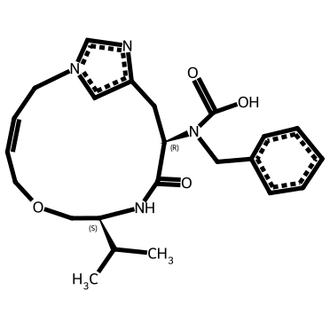 CC(C)[C@H]1COCC=CCn2cnc(c2)C[C@@H](N(Cc2ccccc2)C(=O)O)C(=O)N1